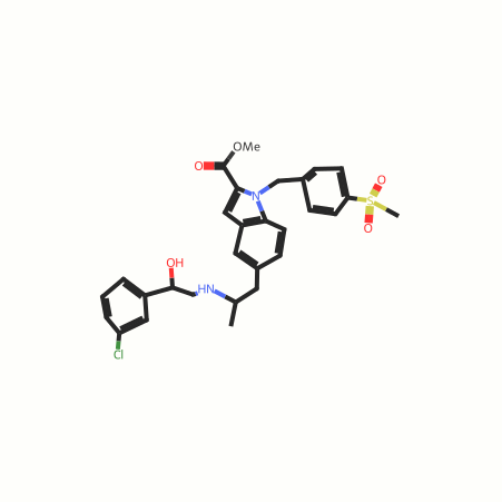 COC(=O)c1cc2cc(CC(C)NCC(O)c3cccc(Cl)c3)ccc2n1Cc1ccc(S(C)(=O)=O)cc1